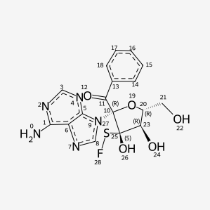 Nc1ncnc2c1ncn2[C@]1(C(=O)c2ccccc2)O[C@H](CO)[C@@H](O)[C@]1(O)SF